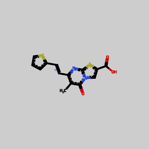 Cc1c(/C=C/c2cccs2)nc2sc(C(=O)O)cn2c1=O